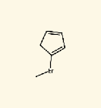 [CH3][Er][C]1=CC=CC1